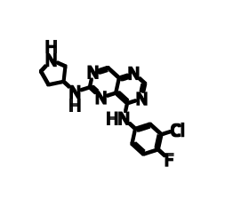 Fc1ccc(Nc2ncnc3cnc(NC4CCNC4)nc23)cc1Cl